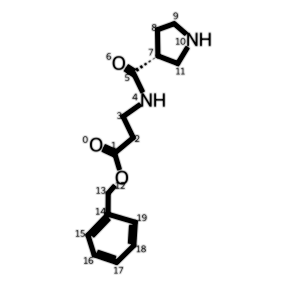 O=C(CCNC(=O)[C@@H]1CCNC1)OCc1ccccc1